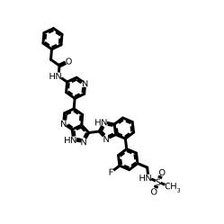 CS(=O)(=O)NCc1cc(F)cc(-c2cccc3[nH]c(-c4n[nH]c5ncc(-c6cncc(NC(=O)Cc7ccccc7)c6)cc45)nc23)c1